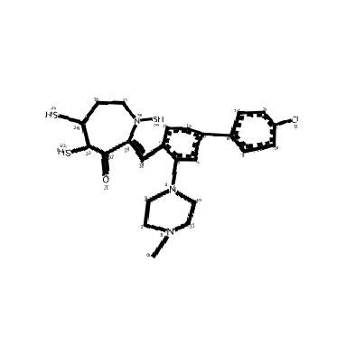 CN1CCN(c2cc(-c3ccc(Cl)cc3)ccc2C=C2C(=O)C(S)C(S)CCN2S)CC1